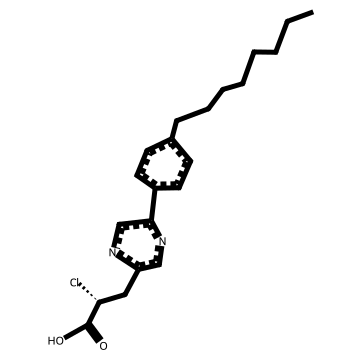 CCCCCCCCc1ccc(-c2cnc(C[C@@H](Cl)C(=O)O)cn2)cc1